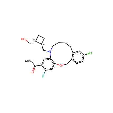 COC(=O)c1cc2c(cc1F)OCc1ccc(Cl)cc1CCCCN2C[C@@H]1CC[C@H]1CO